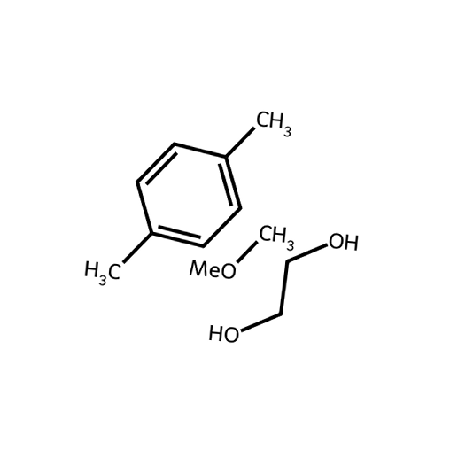 COC.Cc1ccc(C)cc1.OCCO